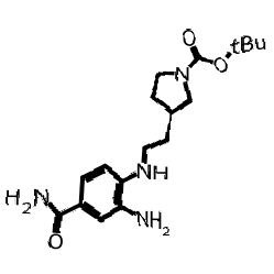 CC(C)(C)OC(=O)N1CC[C@H](CCNc2ccc(C(N)=O)cc2N)C1